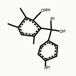 CCCc1ccc(C(O)(c2c(C)cc(C)c(C)c2OC)C(C)C)cc1